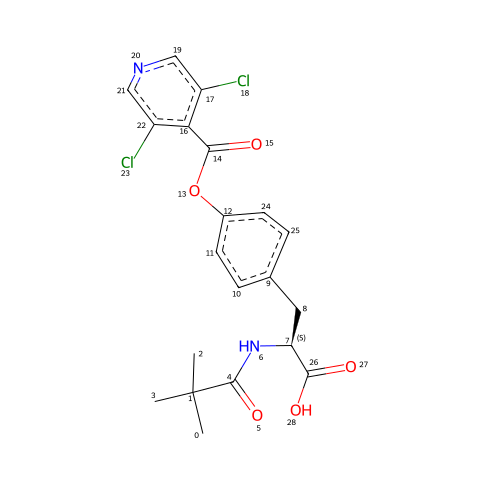 CC(C)(C)C(=O)N[C@@H](Cc1ccc(OC(=O)c2c(Cl)cncc2Cl)cc1)C(=O)O